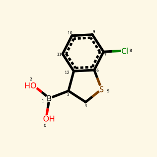 OB(O)C1CSc2c(Cl)cccc21